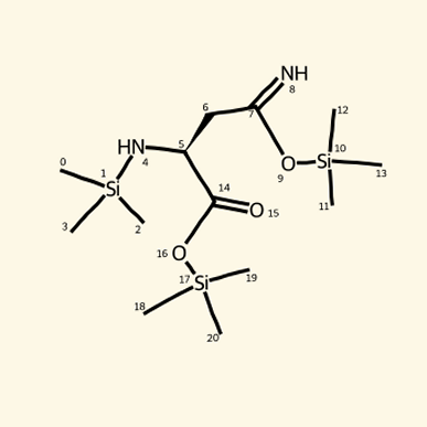 C[Si](C)(C)N[C@@H](CC(=N)O[Si](C)(C)C)C(=O)O[Si](C)(C)C